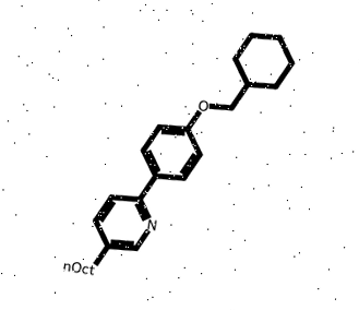 CCCCCCCCc1ccc(-c2ccc(OCC3CC[CH]CC3)cc2)nc1